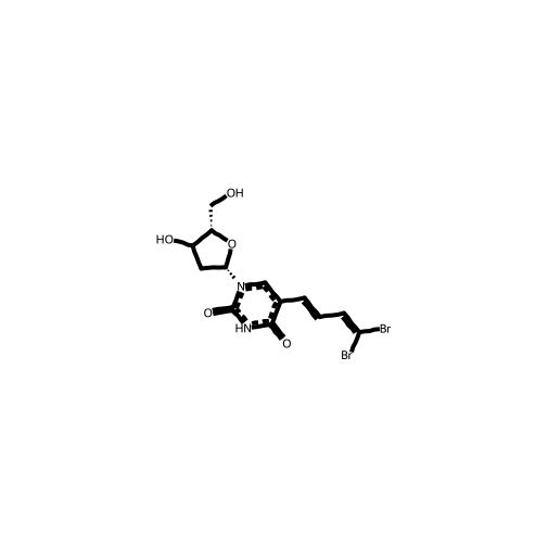 O=c1[nH]c(=O)n([C@@H]2CC(O)[C@H](CO)O2)cc1C=CC=C(Br)Br